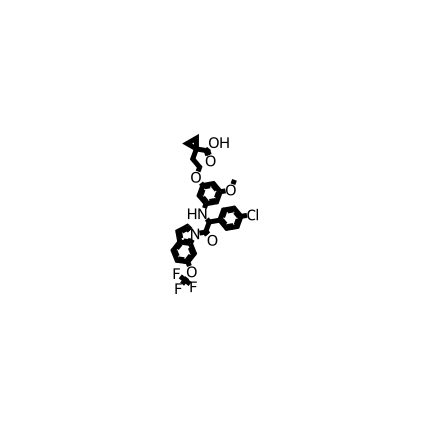 COc1cc(NC(C(=O)n2ccc3ccc(OC(F)(F)F)cc32)c2ccc(Cl)cc2)cc(OCCC2(C(=O)O)CC2)c1